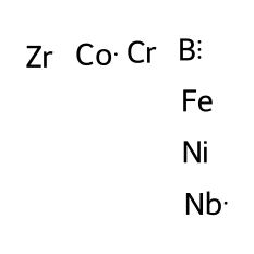 [B].[Co].[Cr].[Fe].[Nb].[Ni].[Zr]